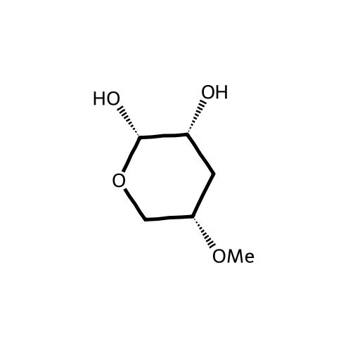 CO[C@@H]1CO[C@H](O)[C@H](O)C1